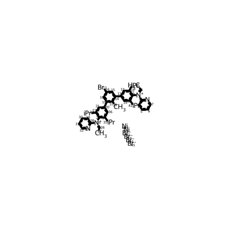 CC=[N+](c1ccccn1)c1c(C(C)C)cc(-c2cc(Br)cc(-c3cc(C(C)C)c([N+](=CC)c4ccccn4)c(C(C)C)c3)c2C)cc1C(C)C.[Br-].[Br-].[Br-].[Br-].[Ni].[Ni]